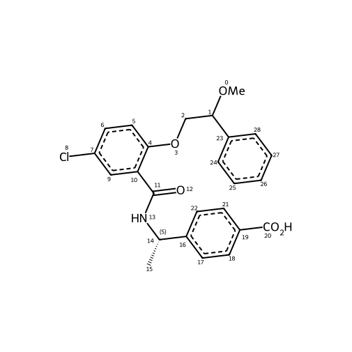 COC(COc1ccc(Cl)cc1C(=O)N[C@@H](C)c1ccc(C(=O)O)cc1)c1ccccc1